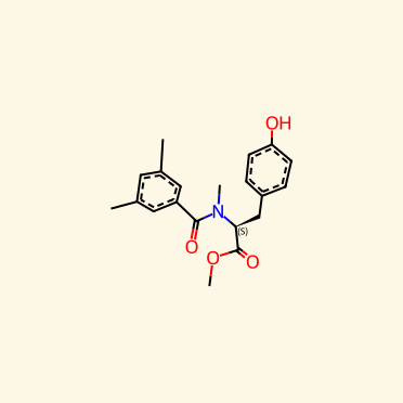 COC(=O)[C@H](Cc1ccc(O)cc1)N(C)C(=O)c1cc(C)cc(C)c1